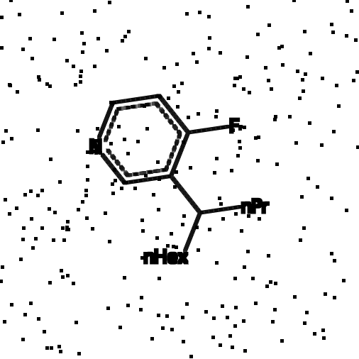 CCCCCCC(CCC)c1cnccc1F